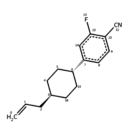 C=CC[C@H]1CC[C@H](c2ccc(C#N)c(F)c2)CC1